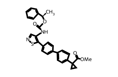 COC(=O)C1(c2ccc(-c3ccc(-c4sncc4NC(=O)O[C@H](C)c4ccccc4)cc3)cc2)CC1